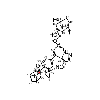 N#Cc1cnn2cc(OCCN3[C@@H]4CC[C@H]3C[C@@H](O)C4)cc(-c3ccc(N4CC5CC(C4)N5C(=O)C4CC4)nc3)c12